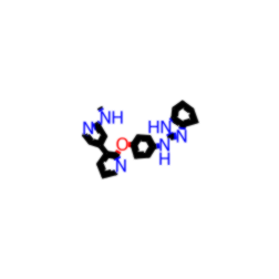 CNc1cc(-c2cccnc2Oc2ccc(Nc3nc4ccccc4[nH]3)cc2)ccn1